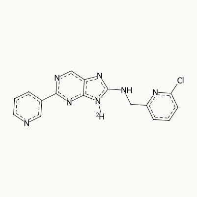 [2H]n1c(NCc2cccc(Cl)n2)nc2cnc(-c3cccnc3)nc21